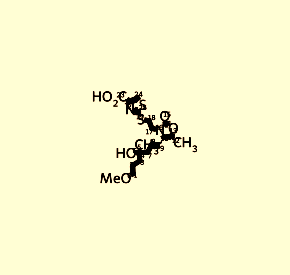 COCCCC(C)(O)CC=C[C@H]1[C@H](C)OC(=O)N1CCSc1nc(C(=O)O)cs1